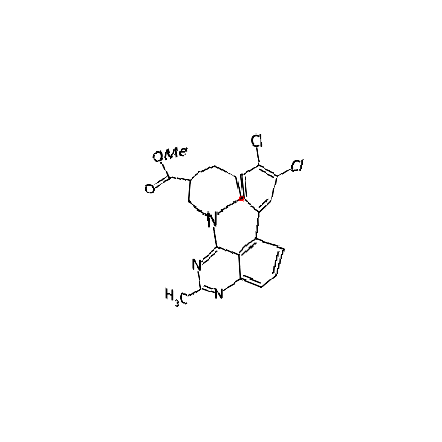 COC(=O)C1CCCN(c2nc(C)nc3cccc(-c4ccc(Cl)c(Cl)c4)c23)C1